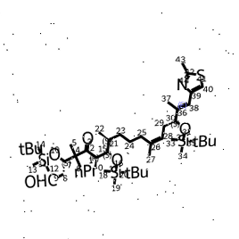 CCC[C@@H](C(=O)C(C)(C)[C@H](CC=O)O[Si](C)(C)C(C)(C)C)[C@@H](O[Si](C)(C)C(C)(C)C)[C@@H](C)CCCC(C)=CC[C@H](O[Si](C)(C)C(C)(C)C)/C(C)=C/c1csc(C)n1